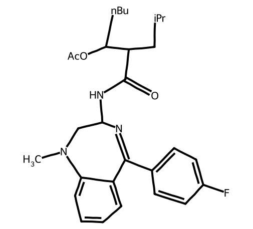 CCCCC(OC(C)=O)C(CC(C)C)C(=O)NC1CN(C)c2ccccc2C(c2ccc(F)cc2)=N1